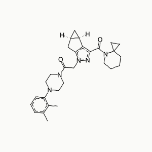 Cc1cccc(N2CCN(C(=O)Cn3nc(C(=O)N4CCCCC45CC5)c4c3C[C@H]3C[C@@H]43)CC2)c1C